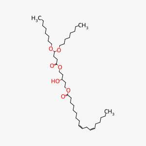 CCCCC/C=C\C/C=C\CCCCCCCC(=O)OCCC(O)CCOC(=O)CCC(OCCCCCCCC)OCCCCCCCC